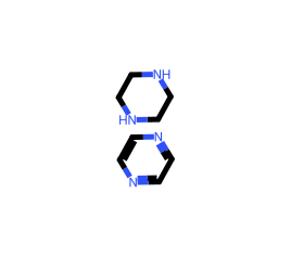 C1CNCCN1.c1cnccn1